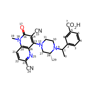 CC(c1cccc(C(=O)O)c1)N1CCN(c2c(C#N)c(=O)n(C)c3ccc(C#N)nc23)C[C@H]1C